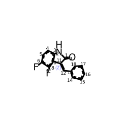 O=C1Nc2ccc(F)c(F)c2/C1=C/c1ccccc1